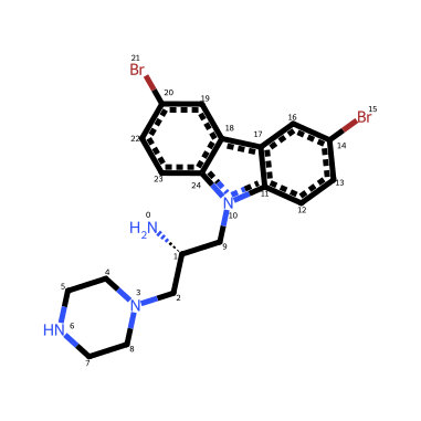 N[C@@H](CN1CCNCC1)Cn1c2ccc(Br)cc2c2cc(Br)ccc21